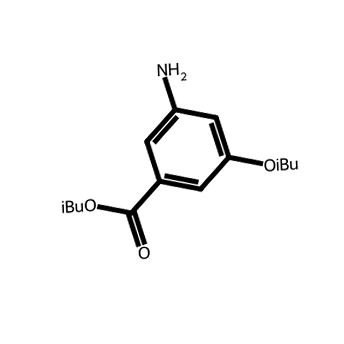 CC(C)COC(=O)c1cc(N)cc(OCC(C)C)c1